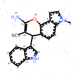 Cn1ccc2c3c(ccc21)C(c1c[nH]c2ccccc12)C(C#N)=C(N)O3